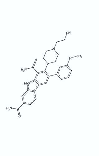 COc1cccc(-c2cc3c([nH]c4cc(C(N)=O)ccc43)c(C(N)=O)c2C2CCN(CCO)CC2)c1